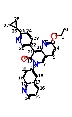 CCOc1ccc2cn(-c3ccc4ncccc4c3)c(=O)c(-c3ccc(C4CC4)nc3)c2n1